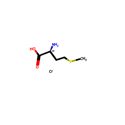 CSCC[C@H](N)C(=O)O.[Cr]